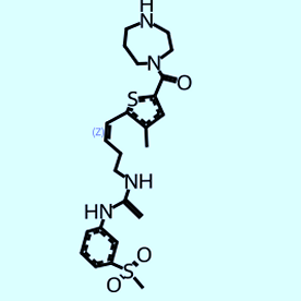 C=C(NCC/C=C\c1sc(C(=O)N2CCCNCC2)cc1C)Nc1cccc(S(C)(=O)=O)c1